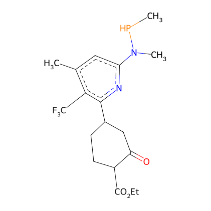 CCOC(=O)C1CCC(c2nc(N(C)PC)cc(C)c2C(F)(F)F)CC1=O